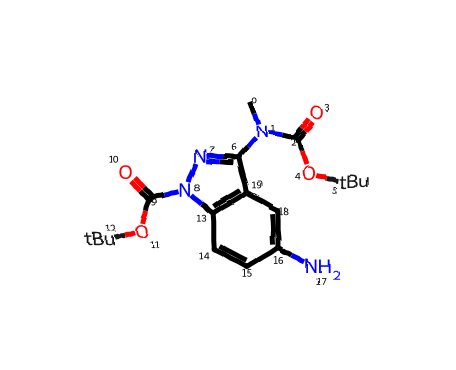 CN(C(=O)OC(C)(C)C)c1nn(C(=O)OC(C)(C)C)c2ccc(N)cc12